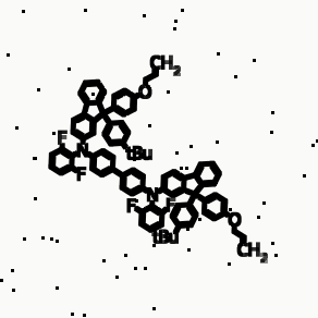 C=CCOc1ccc(C2(c3ccc(C(C)(C)C)cc3)c3ccccc3-c3ccc(N(c4ccc(-c5ccc(N(c6ccc7c(c6)C(c6ccc(OCC=C)cc6)(c6ccc(C(C)(C)C)cc6)c6ccccc6-7)c6c(F)cccc6F)cc5)cc4)c4c(F)cccc4F)cc32)cc1